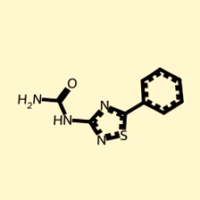 NC(=O)Nc1nsc(-c2ccccc2)n1